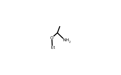 CCOC(C)N